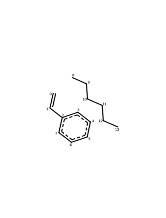 C=Cc1ccccc1.CCCCCC